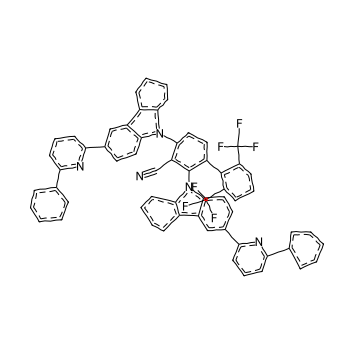 N#Cc1c(-n2c3ccccc3c3cc(-c4cccc(-c5ccccc5)n4)ccc32)ccc(-c2c(C(F)(F)F)cccc2C(F)(F)F)c1-n1c2ccccc2c2cc(-c3cccc(-c4ccccc4)n3)ccc21